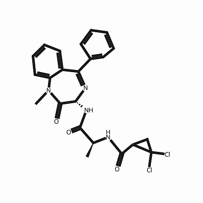 C[C@H](NC(=O)C1CC1(Cl)Cl)C(=O)N[C@H]1N=C(c2ccccc2)c2ccccc2N(C)C1=O